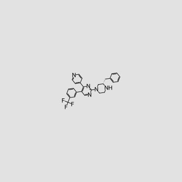 FC(F)(F)c1cccc(-c2cnc(N3CCN[C@@H](Cc4ccccc4)C3)nc2-c2ccncc2)c1